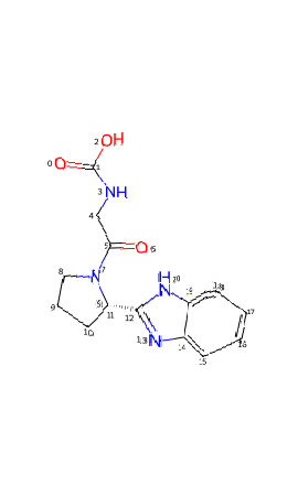 O=C(O)NCC(=O)N1CCC[C@H]1c1nc2ccccc2[nH]1